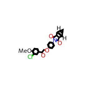 COc1ccc(C(=O)COc2ccc(N3C(=O)C4C(C3=O)[C@@H]3C=CC4[C@H]4CC34)cc2)cc1Cl